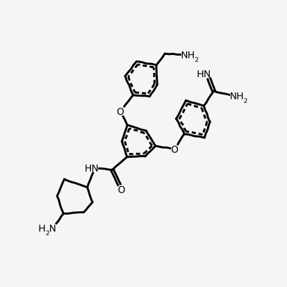 N=C(N)c1ccc(Oc2cc(Oc3ccc(CN)cc3)cc(C(=O)NC3CCC(N)CC3)c2)cc1